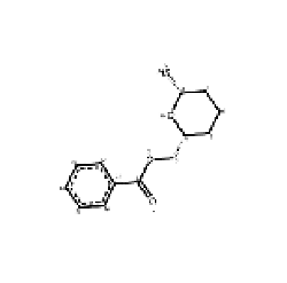 O=C(OC[C@H]1CCC[C@@H](S)O1)c1ccccc1